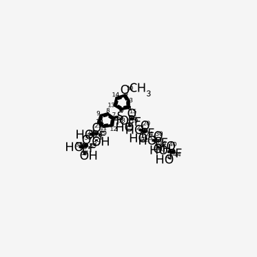 COc1ccc(Sc2ccccc2)cc1.O=P(O)(O)F.O=P(O)(O)F.O=P(O)(O)F.O=P(O)(O)F.O=P(O)(O)F.O=P(O)(O)F